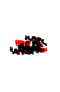 COc1cc(O)c2c(=O)c(-c3cc(O)c(OC)c(OC)c3)coc2c1